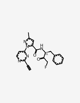 C#Cc1nccc(-n2nc(C)cc2C(=O)N[C@@H](Cc2ccccc2)C(=O)CF)n1